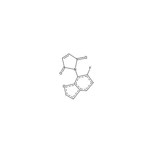 O=C1C=CC(=O)N1c1c(F)ccc2ccoc12